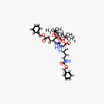 CC(C)(C)OC(=O)[C@H](CCCCNC(=O)OCc1ccccc1)NC(=O)N[C@@H](CCC(=O)OCc1ccccc1)C(=O)OC(C)(C)C